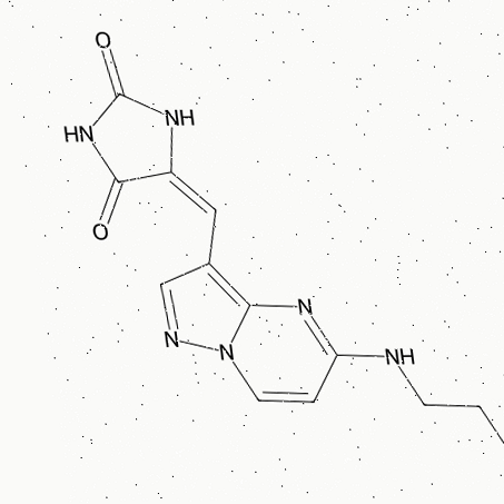 O=C1NC(=O)C(=Cc2cnn3ccc(NCCF)nc23)N1